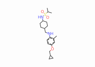 Cc1cc(OCC2CC2)ccc1NCC1CCC(NS(=O)(=O)C(C)C)CC1